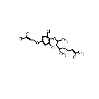 CC(CC(C)Oc1c(Cl)cc(OCC=C(Cl)Cl)cc1Cl)OCC=C(Cl)C(F)(F)F